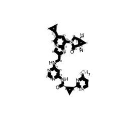 Cc1ccnc([C@H]2C[C@@H]2C(=O)Nc2cc(NCc3cn4cc(C5CC5)cc(N5C[C@H]6C[C@H]6C5=O)c4n3)ncn2)n1